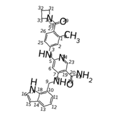 Cc1cc(Nc2cc(NCc3cccc4cc[nH]c34)c(C(N)=O)cn2)ccc1C(=O)N1CCC1